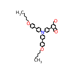 CCCCCCOc1ccc(-c2ccc(N(c3ccc(-c4ccc(OCCCCCC)cc4)cc3)c3ccc(-c4cc(C=O)cc5cocc45)cc3)cc2)cc1